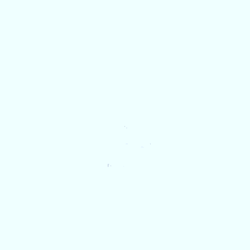 CCCN[C@H]1CC[C@@H]2CN(S(=O)(=O)c3ccc(C(F)(F)F)cc3)C[C@@H]21